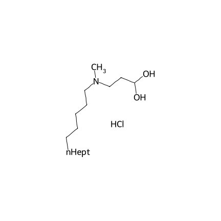 CCCCCCCCCCCCN(C)CCC(O)O.Cl